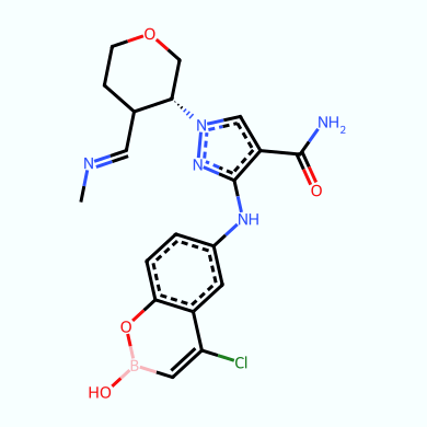 CN=CC1CCOC[C@@H]1n1cc(C(N)=O)c(Nc2ccc3c(c2)C(Cl)=CB(O)O3)n1